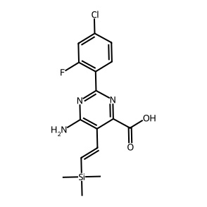 C[Si](C)(C)C=Cc1c(N)nc(-c2ccc(Cl)cc2F)nc1C(=O)O